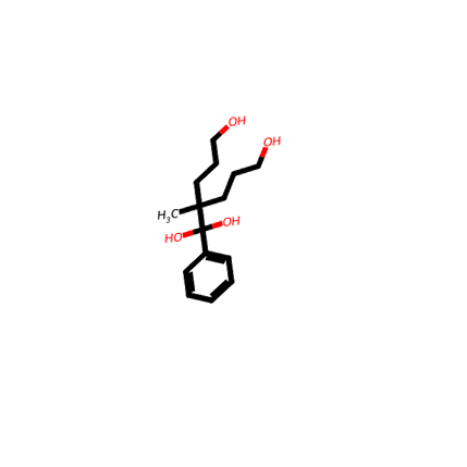 CC(CCCO)(CCCO)C(O)(O)c1ccccc1